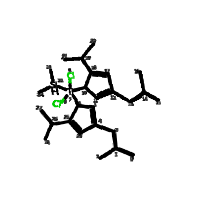 CC(C)CC1=C[CH]([Ti]([Cl])([Cl])([CH]2C=C(CC(C)C)C=C2C(C)C)[SiH](C)C)C(C(C)C)=C1